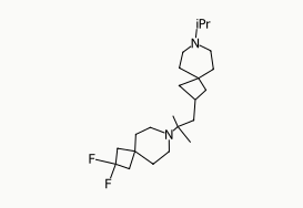 CC(C)N1CCC2(CC1)CC(CC(C)(C)N1CCC3(CC1)CC(F)(F)C3)C2